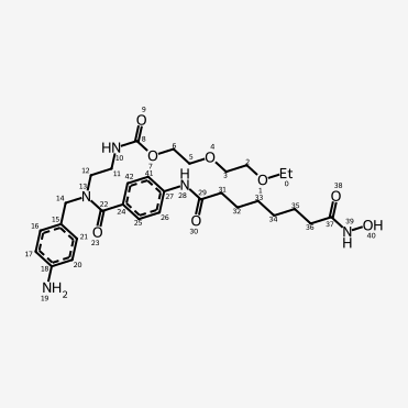 CCOCCOCCOC(=O)NCCN(Cc1ccc(N)cc1)C(=O)c1ccc(NC(=O)CCCCCCC(=O)NO)cc1